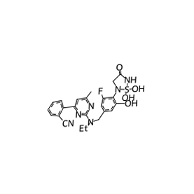 CCN(Cc1cc(O)c(N2CC(=O)NS2(O)O)c(F)c1)c1nc(C)cc(-c2ccccc2C#N)n1